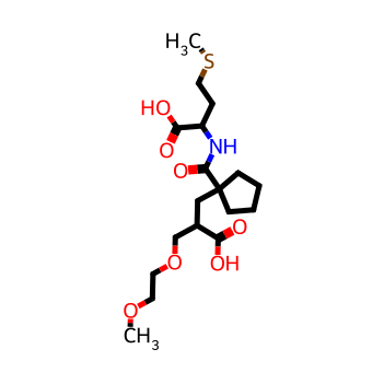 COCCOCC(CC1(C(=O)NC(CCSC)C(=O)O)CCCC1)C(=O)O